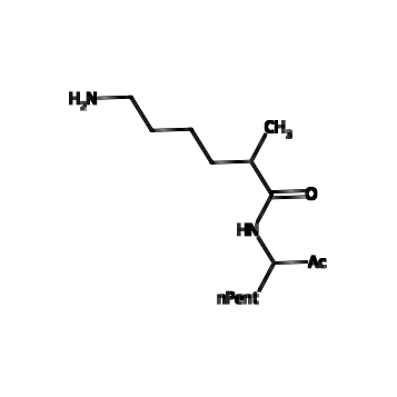 CCCCCC(NC(=O)C(C)CCCCN)C(C)=O